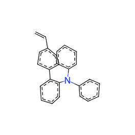 C=Cc1ccc(-c2ccccc2N(c2ccccc2)c2ccccc2)cc1